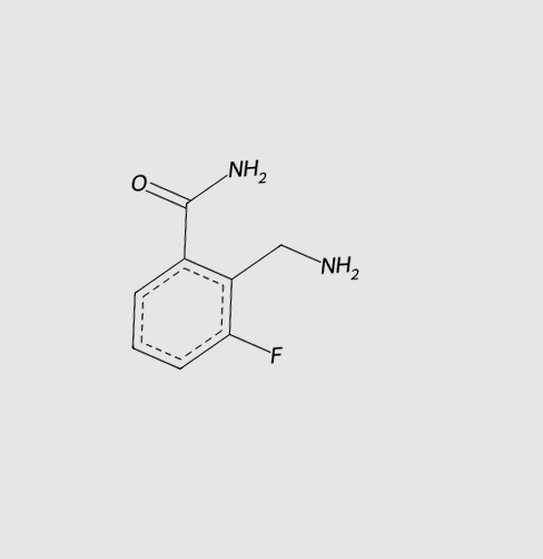 NCc1c(F)cccc1C(N)=O